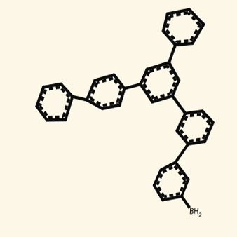 Bc1cccc(-c2cccc(-c3cc(-c4ccccc4)cc(-c4ccc(-c5ccccc5)cc4)c3)c2)c1